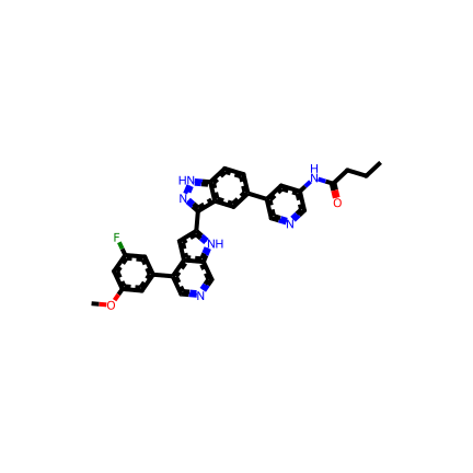 CCCC(=O)Nc1cncc(-c2ccc3[nH]nc(-c4cc5c(-c6cc(F)cc(OC)c6)cncc5[nH]4)c3c2)c1